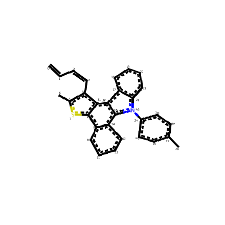 C=C/C=C\c1c(C)sc2c3ccccc3c3c(c4ccccc4n3-c3ccc(C)cc3)c12